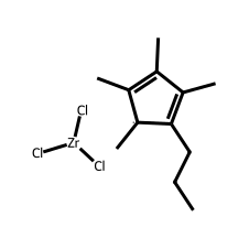 CCCC1=C(C)C(C)=C(C)[C]1C.[Cl][Zr]([Cl])[Cl]